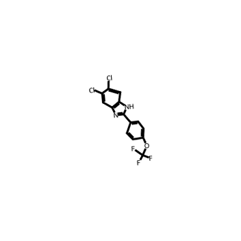 FC(F)(F)Oc1ccc(-c2nc3cc(Cl)c(Cl)cc3[nH]2)cc1